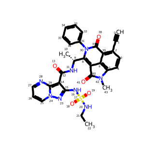 C#Cc1ccc2c3c(c([C@@H](C)NC(=O)c4c(NS(=O)(=O)NCC)nn5cccnc45)n(-c4ccccc4)c(=O)c13)C(=O)N2C